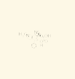 CN1CCC2=C(C1)c1nsnc1SC2c1ccccc1.O=C(O)C(=O)O